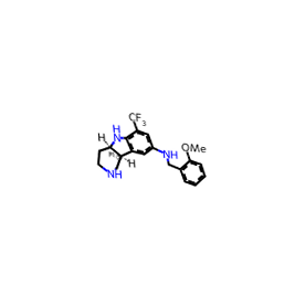 COc1ccccc1CNc1cc2c(c(C(F)(F)F)c1)N[C@@H]1CCNC[C@H]21